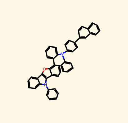 c1ccc(N(c2ccc(-c3ccc4ccccc4c3)cc2)c2ccccc2-c2cccc3c2oc2c4ccccc4n(-c4ccccc4)c32)cc1